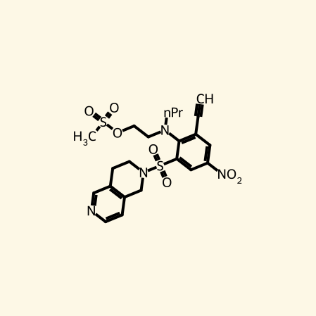 C#Cc1cc([N+](=O)[O-])cc(S(=O)(=O)N2CCc3cnccc3C2)c1N(CCC)CCOS(C)(=O)=O